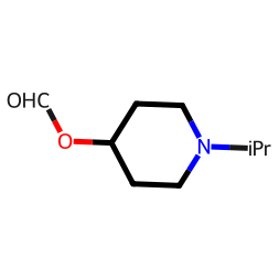 CC(C)N1CCC(OC=O)CC1